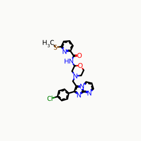 CSc1cccc(C(=O)NC2CN(Cc3c(-c4ccc(Cl)cc4)nc4ncccn34)CCO2)n1